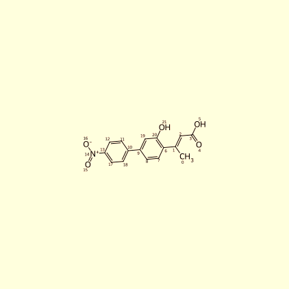 CC(=CC(=O)O)c1ccc(-c2ccc([N+](=O)[O-])cc2)cc1O